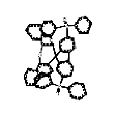 O=P(c1ccccc1)(c1ccccc1)c1ccc2c(c1)C1(c3cc(P(=O)(c4ccccc4)c4ccccc4)ccc3-2)c2ccc3ccccc3c2Oc2c1ccc1ccccc21